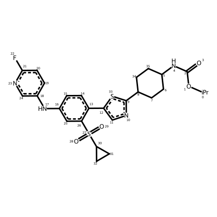 CC(C)OC(=O)NC1CCC(c2ncc(-c3ccc(Nc4ccc(F)nc4)cc3S(=O)(=O)C3CC3)s2)CC1